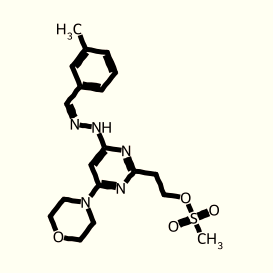 Cc1cccc(/C=N\Nc2cc(N3CCOCC3)nc(CCOS(C)(=O)=O)n2)c1